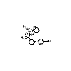 CCS(=O)(=O)N(Cc1cccnc1)C(C)c1cccc(-c2ccc(C#N)cc2)c1